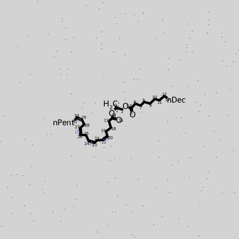 [CH2][C@H](COC(=O)CCCCCCCCCCCCCCCCC)OC(=O)CCC/C=C\C/C=C\C/C=C\C/C=C\CCCCC